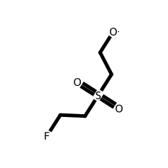 [O]CCS(=O)(=O)CCF